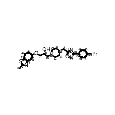 Cc1nc2cc(OC[C@H](O)CN3CCN(Cc4nc(-c5ccc(C(C)C)cc5)no4)CC3)ccc2s1